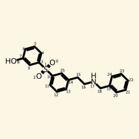 O=S(=O)(c1cccc(O)c1)c1cccc(CCNCc2ccccc2)c1